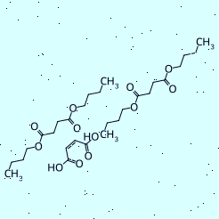 CCCCOC(=O)CCC(=O)OCCCC.CCCCOC(=O)CCC(=O)OCCCC.O=C(O)/C=C\C(=O)O